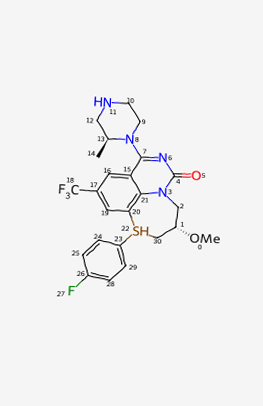 CO[C@H]1Cn2c(=O)nc(N3CCNC[C@@H]3C)c3cc(C(F)(F)F)cc(c32)[SH](c2ccc(F)cc2)C1